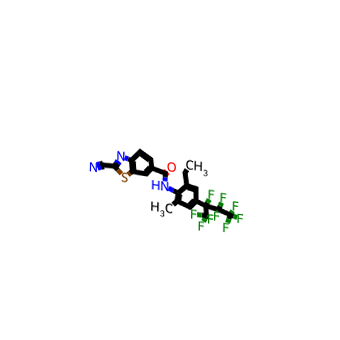 CCc1cc(C(F)(C(F)(F)F)C(F)(F)C(F)(F)F)cc(C)c1NC(=O)c1ccc2nc(C#N)sc2c1